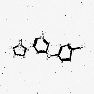 Fc1ccc(Oc2cncc([C@@H]3CCCN3)c2)cc1